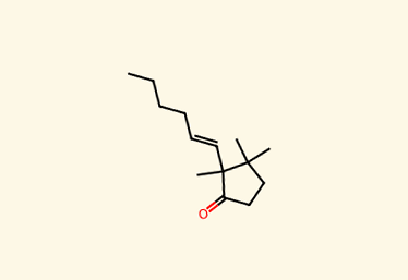 CCCCC=CC1(C)C(=O)CCC1(C)C